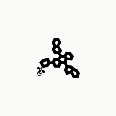 CP(C)(=O)c1cccc(-c2ccc3c(-c4ccc5ccccc5c4)c4ccccc4c(-c4ccc5ccccc5c4)c3c2)c1